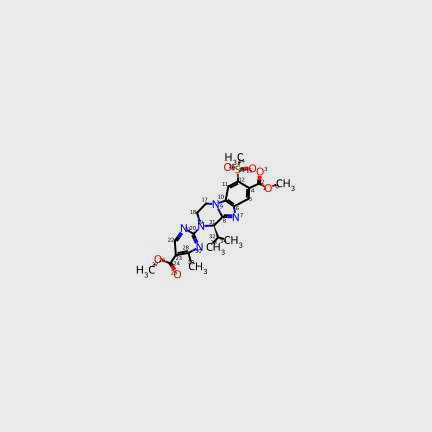 COC(=O)c1cc2nc3n(c2cc1S(C)(=O)=O)CCN(c1ncc(C(=O)OC)c(C)n1)[C@@H]3C(C)C